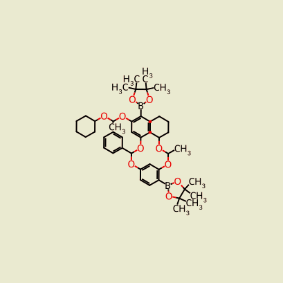 CC(Oc1cc(OC(Oc2ccc(B3OC(C)(C)C(C)(C)O3)c(OC(C)OC3CCCCC3)c2)c2ccccc2)ccc1B1OC(C)(C)C(C)(C)O1)OC1CCCCC1